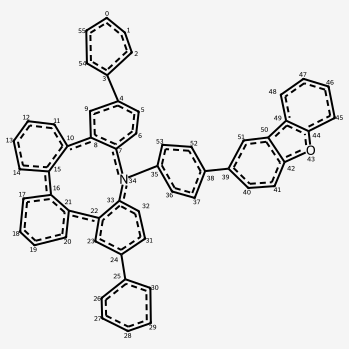 c1ccc(-c2ccc3c(c2)c2ccccc2c2ccccc2c2cc(-c4ccccc4)ccc2n3-c2ccc(-c3ccc4oc5ccccc5c4c3)cc2)cc1